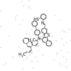 C=C/C=C\C1=CC2C=CC=CC2C=C1/C=C\C(=C)N(c1ccc(-c2ccccc2)cc1)c1cc2ccccc2c2sc3cc(/C=N/c4ccccc4S)ccc3c12